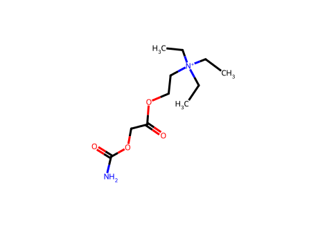 CC[N+](CC)(CC)CCOC(=O)COC(N)=O